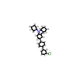 Clc1cccc(-c2ccc(-c3ccc4c(c3)c3ccccc3n4-c3ccccc3)cc2)c1